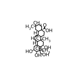 CC1(C)CC[C@]2(C(=O)O)CC[C@]3(C)C(=CC[C@@H]4[C@@]5(C)C[C@H](O)[C@H](O)C(C)(CO)C5[C@@H](O)C[C@]43C)[C@H]2C1